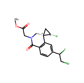 CC(C)(C)OC(=O)CN1C[C@@]2(C[C@@H]2F)c2cc(C(F)CBr)ccc2C1=O